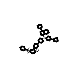 c1ccc(-c2ccc(N(c3ccc(-c4ccc5c(c4)oc4ccc6nc(-c7ccccc7)sc6c45)cc3)c3ccc(-c4ccccc4)c4ccccc34)cc2)cc1